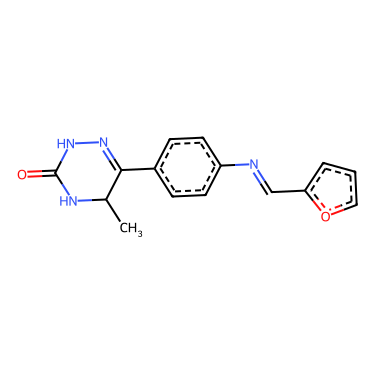 CC1NC(=O)NN=C1c1ccc(N=Cc2ccco2)cc1